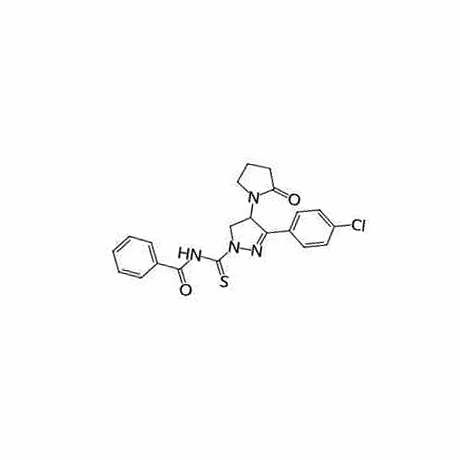 O=C(NC(=S)N1CC(N2CCCC2=O)C(c2ccc(Cl)cc2)=N1)c1ccccc1